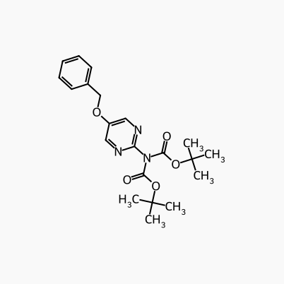 CC(C)(C)OC(=O)N(C(=O)OC(C)(C)C)c1ncc(OCc2ccccc2)cn1